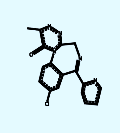 Cc1nnc2n(c1=O)-c1ccc(Cl)cc1C(c1ccccn1)=NC2